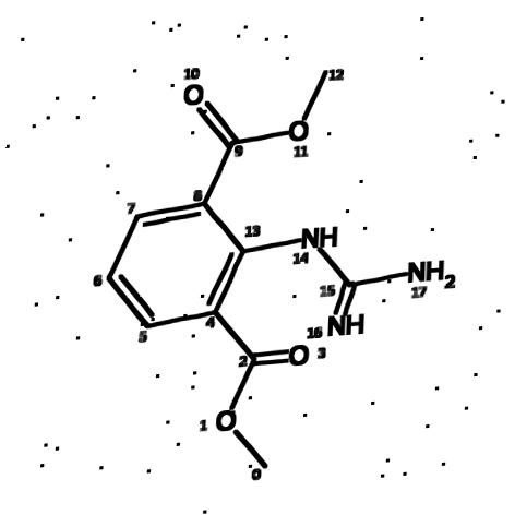 COC(=O)c1cccc(C(=O)OC)c1NC(=N)N